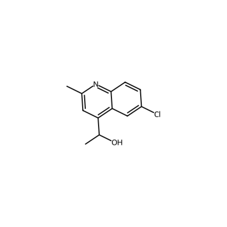 Cc1cc(C(C)O)c2cc(Cl)ccc2n1